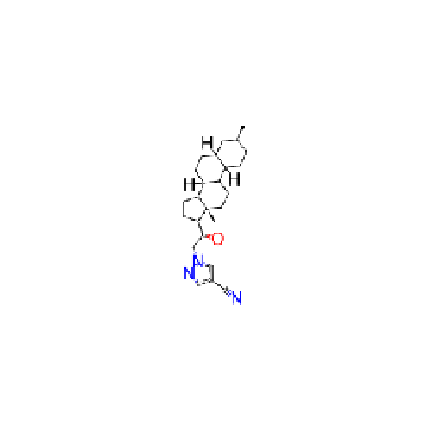 C[C@H]1CC[C@@H]2C3CC[C@@]4(C)C(CC[C@@H]4C(=O)Cn4cc(C#N)cn4)[C@@H]3CC[C@@H]2C1